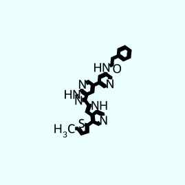 Cc1ccc(-c2cncc3[nH]c(-c4n[nH]c5ncc(-c6cncc(NC(=O)Cc7ccccc7)c6)cc45)cc23)s1